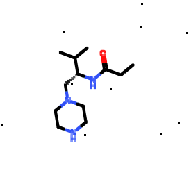 CCC(=O)N[C@H](CN1CCNCC1)C(C)C